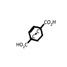 O=C(O)C12C=CC(C(=O)O)(CC1)CC2